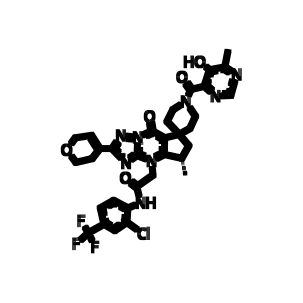 Cc1ncnc(C(=O)N2CCC3(CC2)C[C@H](C)c2c3c(=O)n3nc(C4=CCOCC4)nc3n2CC(=O)Nc2ccc(C(F)(F)F)cc2Cl)c1O